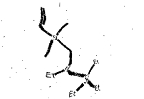 C=C[Si](C)(C)CN(CC)[Si](CC)(CC)CC